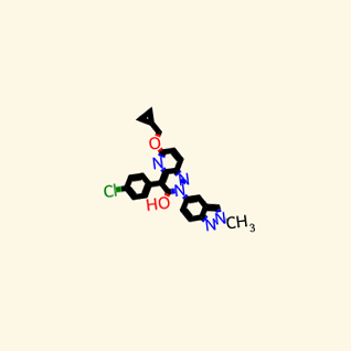 Cn1cc2cc(N3N=c4ccc(OCC5CC5)nc4=C(c4ccc(Cl)cc4)C3O)ccc2n1